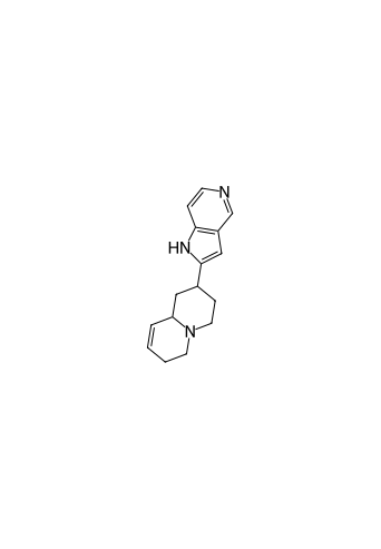 C1=CC2CC(c3cc4cnccc4[nH]3)CCN2CC1